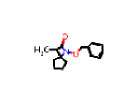 CC1C(=O)N(OCc2ccccc2)C12CCCC2